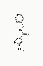 Cn1cc(C(=O)NCc2ccccn2)cn1